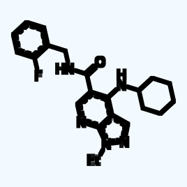 CCn1ncc2c(NC3CCCCC3)c(C(=O)NCc3ccccc3F)cnc21